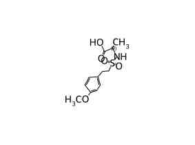 COc1ccc(CCS(=O)(=O)N[C@H](C)C(=O)O)cc1